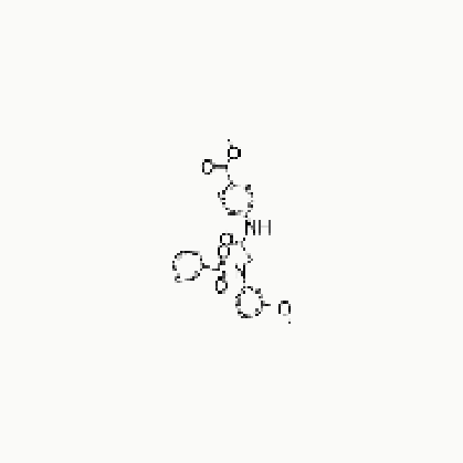 COC(=O)c1ccc(NC(=O)CN(c2cccc(OC)c2)S(=O)(=O)c2ccccc2)cc1